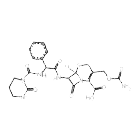 NC(=O)OCC1=C(C(=O)O)N2C(=O)C(NC(=O)C(NC(=O)N3CCCNC3=O)c3ccccc3)[C@@H]2SC1